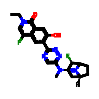 CCn1cc(F)c2cc(-c3ncc(N(C)[C@H]4C[C@@H]5CCC(N5)[C@H]4F)nn3)c(O)cc2c1=O